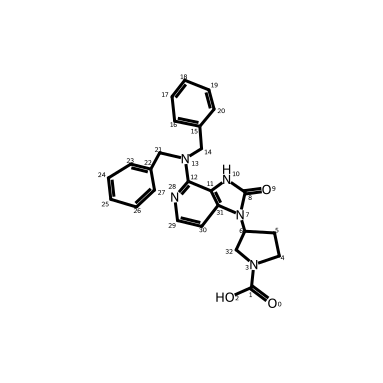 O=C(O)N1CCC(n2c(=O)[nH]c3c(N(Cc4ccccc4)Cc4ccccc4)nccc32)C1